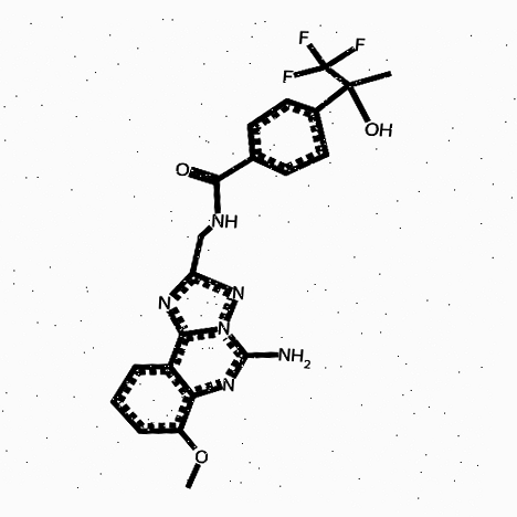 COc1cccc2c1nc(N)n1nc(CNC(=O)c3ccc(C(C)(O)C(F)(F)F)cc3)nc21